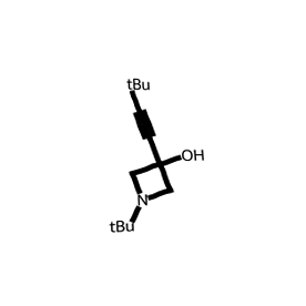 CC(C)(C)C#CC1(O)CN(C(C)(C)C)C1